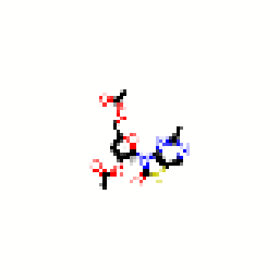 CC(=O)OC[C@@H]1C[C@@H](OC(C)=O)[C@H](n2c(=O)sc3cnc(C)nc32)O1